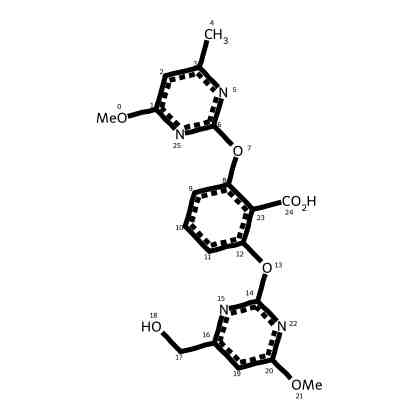 COc1cc(C)nc(Oc2cccc(Oc3nc(CO)cc(OC)n3)c2C(=O)O)n1